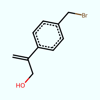 C=C(CO)c1ccc(CBr)cc1